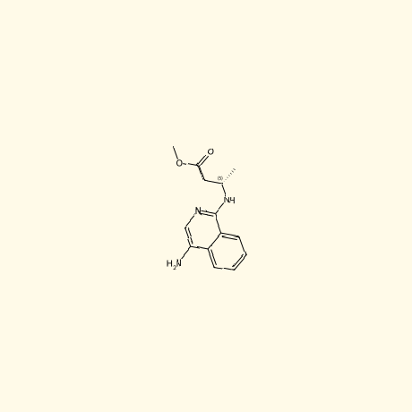 COC(=O)C[C@H](C)Nc1ncc(N)c2ccccc12